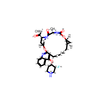 COC(=O)[C@@H]1C[C@@H]2CN1C(=O)[C@H](C)NC(=O)O[C@@H]1C[C@H]1CCCCCc1c(nc3ccccc3c1O[C@H]1CCNC[C@H]1F)O2